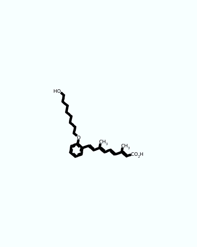 CC(/C=C/c1ccccc1OCCCCCCCCO)=C\C=C\C(C)=C\C(=O)O